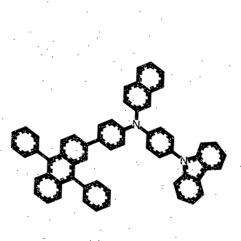 c1ccc(-c2c3ccccc3c(-c3ccccc3)c3cc(-c4ccc(N(c5ccc(-n6c7ccccc7c7ccccc76)cc5)c5ccc6ccccc6c5)cc4)ccc23)cc1